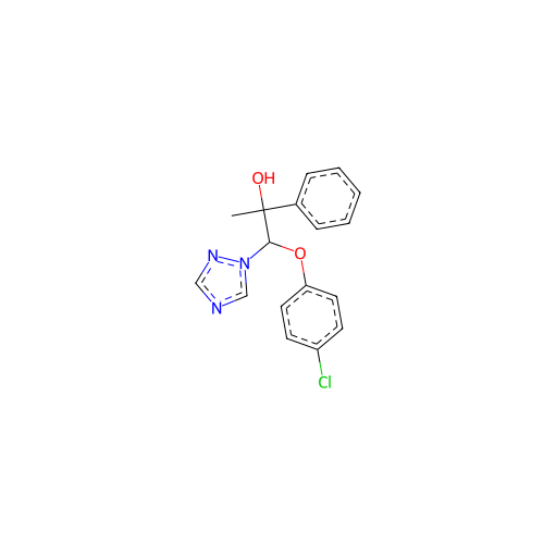 CC(O)(c1ccccc1)C(Oc1ccc(Cl)cc1)n1cncn1